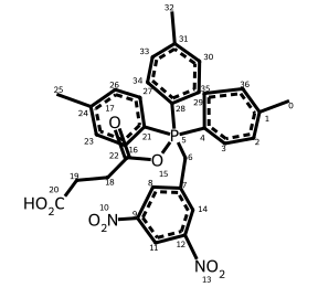 Cc1ccc(P(Cc2cc([N+](=O)[O-])cc([N+](=O)[O-])c2)(OC(=O)CCC(=O)O)(c2ccc(C)cc2)c2ccc(C)cc2)cc1